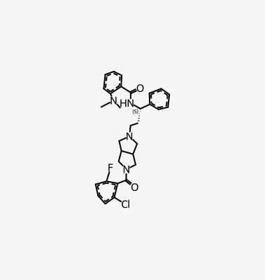 CN(C)c1ccccc1C(=O)N[C@@H](CCN1CC2CN(C(=O)c3c(F)cccc3Cl)CC2C1)c1ccccc1